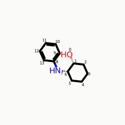 O[C@@H]1CCCC[C@@H]1Nc1ccccc1